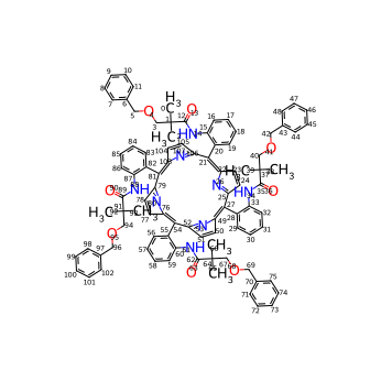 CC(C)(COCc1ccccc1)C(=O)Nc1ccccc1C1=C2C=CC(=N2)C(c2ccccc2NC(=O)C(C)(C)COCc2ccccc2)=C2C=CC(=N2)C(c2ccccc2NC(=O)C(C)(C)COCc2ccccc2)=C2C=CC(=N2)C(c2ccccc2NC(=O)C(C)(C)COCc2ccccc2)=C2C=CC1=N2